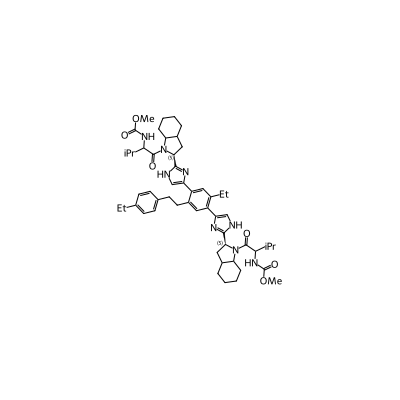 CCc1ccc(CCc2cc(-c3c[nH]c([C@@H]4CC5CCCCC5N4C(=O)C(NC(=O)OC)C(C)C)n3)c(CC)cc2-c2c[nH]c([C@@H]3CC4CCCCC4N3C(=O)C(NC(=O)OC)C(C)C)n2)cc1